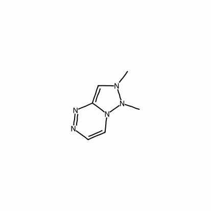 CN1C=C2N=NC=CN2N1C